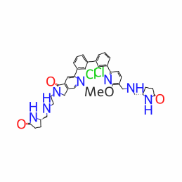 COc1nc(-c2cccc(-c3cccc(-c4cc5c(cn4)CN(CCNC[C@H]4CCC(=O)N4)C5=O)c3Cl)c2Cl)ccc1CNC[C@@H]1CCC(=O)N1